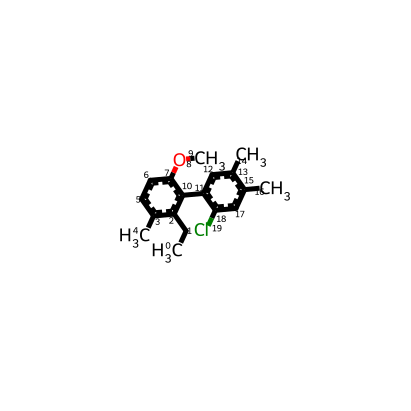 CCc1c(C)ccc(OC)c1-c1cc(C)c(C)cc1Cl